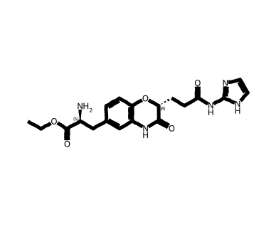 CCOC(=O)[C@@H](N)Cc1ccc2c(c1)NC(=O)[C@@H](CCC(=O)Nc1ncc[nH]1)O2